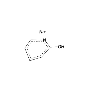 Oc1ccccn1.[Na]